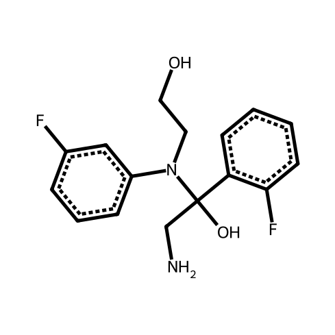 NCC(O)(c1ccccc1F)N(CCO)c1cccc(F)c1